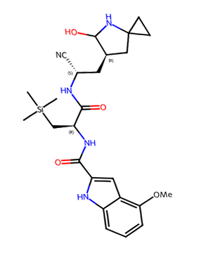 COc1cccc2[nH]c(C(=O)N[C@@H](C[Si](C)(C)C)C(=O)N[C@H](C#N)C[C@@H]3CC4(CC4)NC3O)cc12